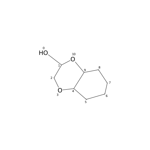 OC1COC2CCCCC2O1